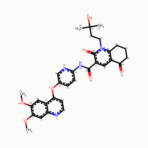 COc1cc2nccc(Oc3ccc(NC(=O)c4cc5c(n(CCC(C)(C)O)c4=O)CCCC5=O)nc3)c2cc1OC